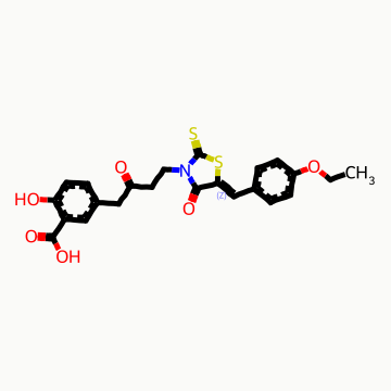 CCOc1ccc(/C=C2\SC(=S)N(CCC(=O)Cc3ccc(O)c(C(=O)O)c3)C2=O)cc1